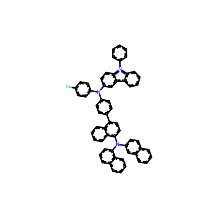 Fc1ccc(N(c2ccc(-c3ccc(N(c4ccc5ccccc5c4)c4cccc5ccccc45)c4ccccc34)cc2)c2ccc3c(c2)c2ccccc2n3-c2ccccc2)cc1